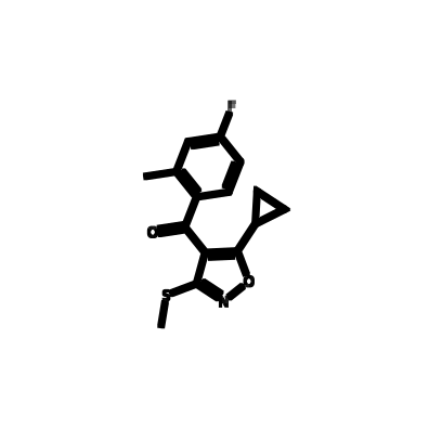 CSc1noc(C2CC2)c1C(=O)c1ccc(F)cc1C